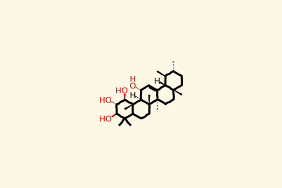 C[C@H]1[C@H](C)CC[C@]2(C)CC[C@]3(C)C(=C[C@@H](O)[C@@H]4[C@]5(C)C(CC[C@]43C)C(C)(C)[C@@H](O)[C@H](O)[C@H]5O)[C@H]12